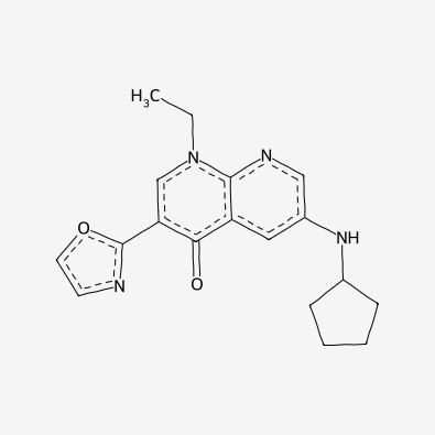 CCn1cc(-c2ncco2)c(=O)c2cc(NC3CCCC3)cnc21